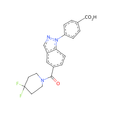 O=C(O)c1ccc(-n2ncc3cc(C(=O)N4CCC(F)(F)CC4)ccc32)cc1